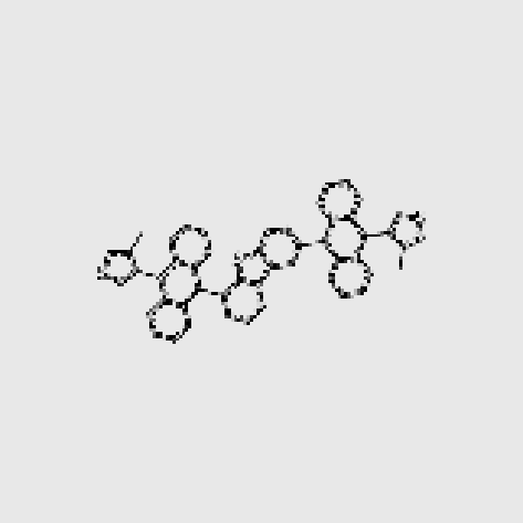 Cc1cscc1-c1c2ccccc2c(-c2ccc3sc4c(-c5c6ccccc6c(-c6cscc6C)c6ccccc56)cccc4c3c2)c2ccccc12